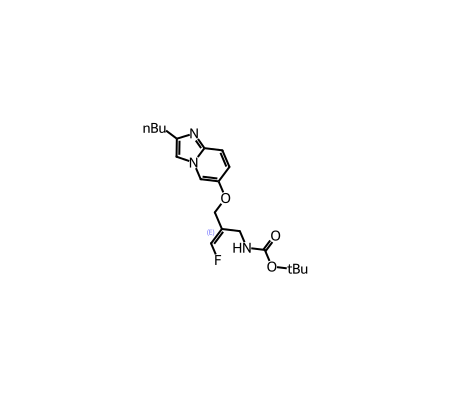 CCCCc1cn2cc(OC/C(=C/F)CNC(=O)OC(C)(C)C)ccc2n1